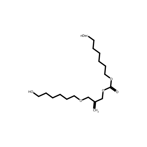 C=C(COCCCCCCO)COC(=O)OCCCCCCCCCCCCCCCC